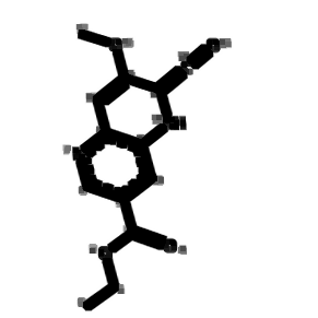 CCOC(=O)c1cnc2c(c1)NC(=C=O)C(OC)=C2